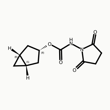 O=C(NN1C(=O)CCC1=O)O[C@@H]1C[C@@H]2C[C@@H]2C1